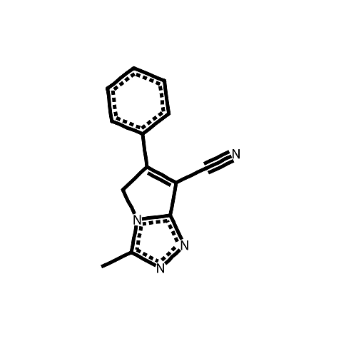 Cc1nnc2n1CC(c1ccccc1)=C2C#N